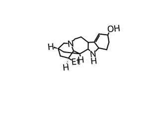 CC[C@H]1C[C@H]2C[C@H]3C4NC5CCC(O)C=C5C4CCN(C2)C13